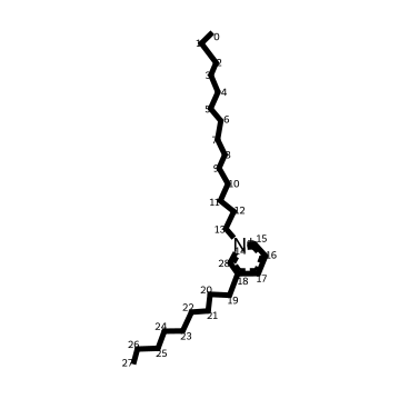 CCCCCCCCCCCCCC[n+]1cccc(CCCCCCCCC)c1